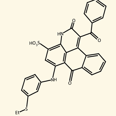 CCSc1cccc(Nc2cc(S(=O)(=O)O)c3[nH]c(=O)c(C(=O)c4ccccc4)c4c3c2C(=O)c2ccccc2-4)c1